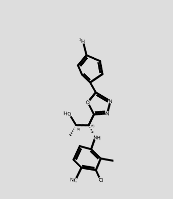 [2H]c1ccc(-c2nnc([C@H](Nc3ccc(C#N)c(Cl)c3C)[C@H](C)O)o2)cc1